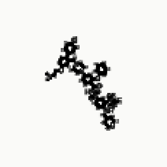 CN(C)CCOc1ccc(-c2ccc(Cl)cc2)c(CN2CCN(c3ccc(C(=O)NS(=O)(=O)c4ccc(NCC5CCOCC5)c(S(=O)(=O)C(F)(F)F)c4)c(Oc4ccccc4)c3)CC2)c1